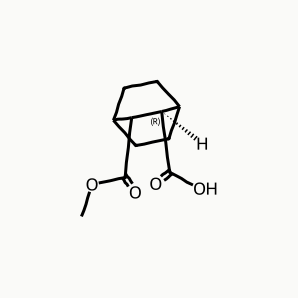 COC(=O)C1C2CCC(CC2)[C@H]1C(=O)O